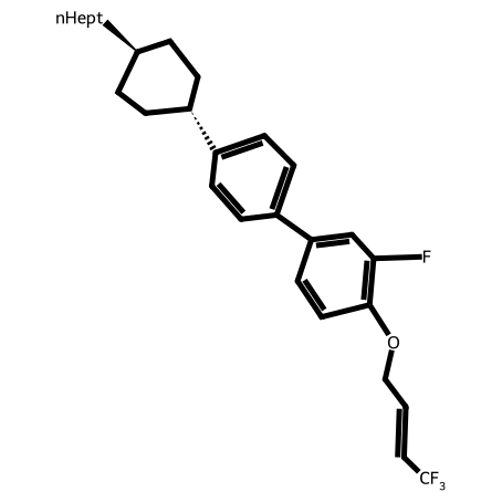 CCCCCCC[C@H]1CC[C@H](c2ccc(-c3ccc(OC/C=C/C(F)(F)F)c(F)c3)cc2)CC1